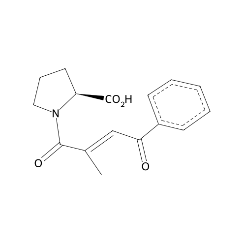 C/C(=C\C(=O)c1ccccc1)C(=O)N1CCC[C@H]1C(=O)O